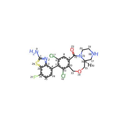 Nc1nc2c(-c3c(Cl)cc4c(c3Cl)COC[C@@H]3CNCCN3C4=O)ccc(F)c2s1